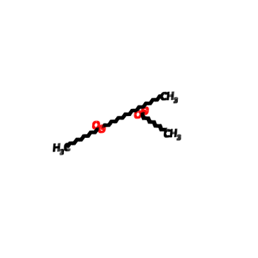 CCCCCCCCCC(=O)OCCCCCCCCCC(CCCCCCCC)OC(=O)CCCCCCCCC